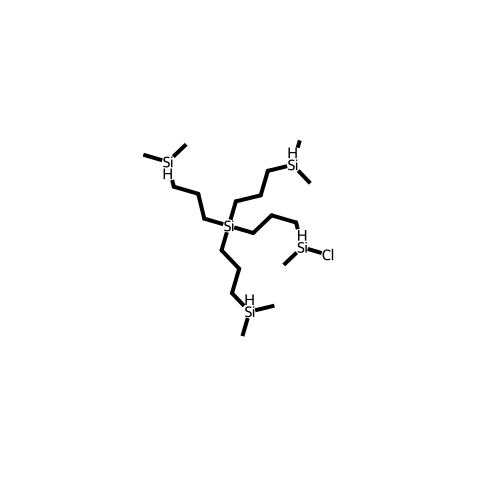 C[SiH](C)CCC[Si](CCC[SiH](C)C)(CCC[SiH](C)C)CCC[SiH](C)Cl